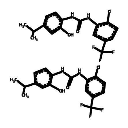 CC(C)c1ccc(NC(=O)Nc2cc(C(F)(F)F)ccc2Cl)c(O)c1.CC(C)c1ccc(NC(=O)Nc2cc(C(F)(F)F)ccc2Cl)c(O)c1